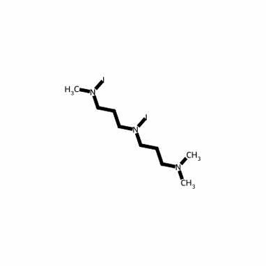 CN(C)CCCN(I)CCCN(C)I